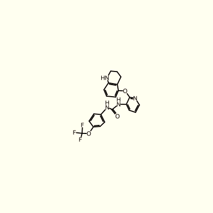 O=C(Nc1ccc(OC(F)(F)F)cc1)Nc1cccnc1Oc1cccc2c1CCCN2